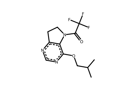 CC(C)COc1ncnc2c1N(C(=O)C(F)(F)F)CC2